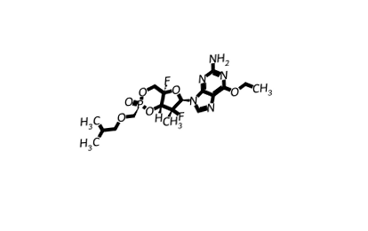 CCOc1nc(N)nc2c1ncn2[C@@H]1O[C@]2(F)CO[P@](=O)(COCC(C)C)O[C@H]2[C@@]1(C)F